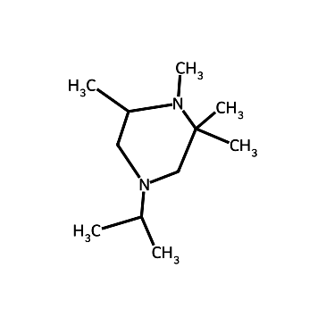 CC(C)N1CC(C)N(C)C(C)(C)C1